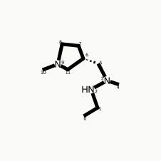 CCNN(C)C[C@H]1CCN(C)C1